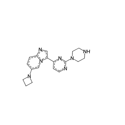 c1cc(-c2cnc3ccc(N4CCC4)cn23)nc(N2CCNCC2)n1